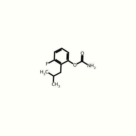 CC(C)Cc1c(F)cccc1OC(N)=O